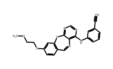 C#Cc1cccc(Nc2ncnc3c2N=Cc2ccc(OCCOC)cc2O3)c1